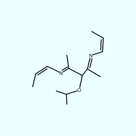 C/C=C\N=C(/C)C(OC(C)C)/C(C)=N/C=C\C